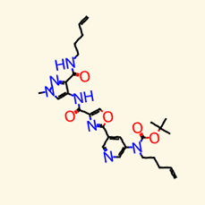 C=CCCCNC(=O)c1nn(C)cc1NC(=O)c1coc(-c2cncc(N(CCCC=C)C(=O)OC(C)(C)C)c2)n1